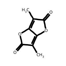 CC1=C2OC(=O)C(C)=C2OC1=O